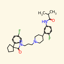 CC(C)C(=O)Nc1ccc(F)c(C2CCN(CCCNC(=O)C3(c4ccc(F)cc4)CCCC3)CC2)c1